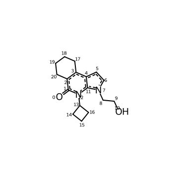 O=c1c2c(c3ccn(CCO)c3n1C1CCC1)CCCC2